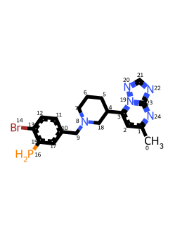 Cc1cc(C2CCCN(Cc3ccc(Br)c(P)c3)C2)n2ncnc2n1